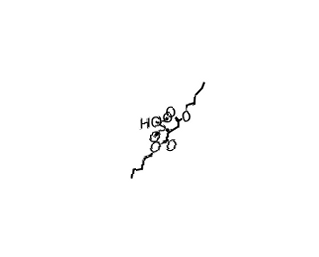 CCCCCOC(=O)CC(C(=O)OCCCCC)S(=O)(=O)O